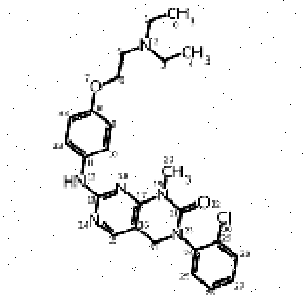 CCN(CC)CCOc1ccc(Nc2ncc3c(n2)N(C)C(=O)N(c2ccccc2Cl)C3)cc1